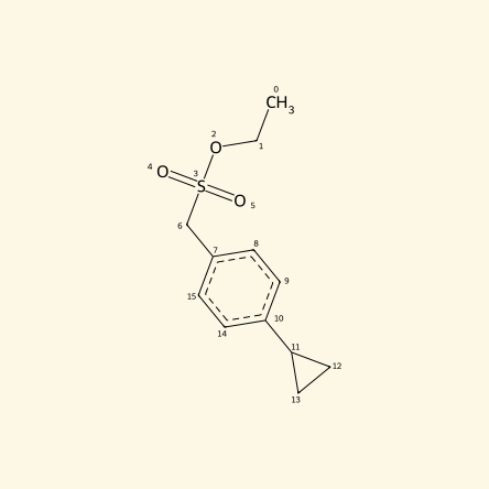 CCOS(=O)(=O)Cc1ccc(C2CC2)cc1